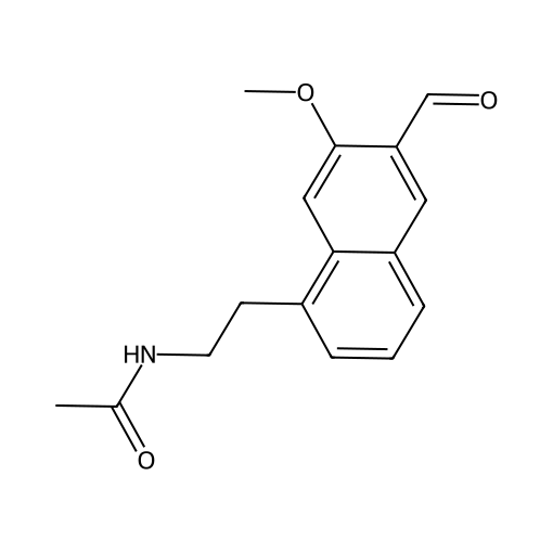 COc1cc2c(CCNC(C)=O)cccc2cc1C=O